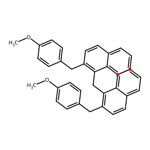 COc1ccc(Cc2ccc3ccccc3c2Cc2c(Cc3ccc(OC)cc3)ccc3ccccc23)cc1